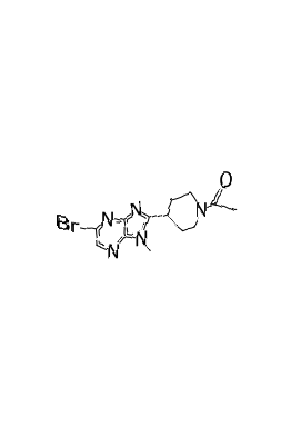 CC(=O)N1CCC(c2nc3nc(Br)cnc3n2C)CC1